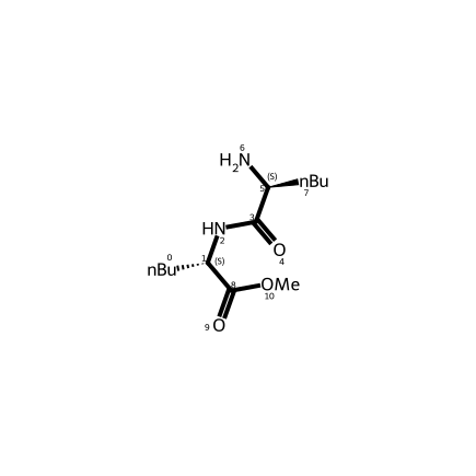 CCCC[C@H](NC(=O)[C@@H](N)CCCC)C(=O)OC